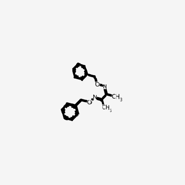 CC(=NOCc1ccccc1)C(C)=NOCc1ccccc1